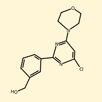 OCc1cccc(-c2nc(Cl)cc(N3CCOCC3)n2)c1